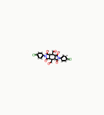 O=CC1C2C(=O)N(c3ccc(Cl)cc3)C(=O)C2C(C=O)C2C(=O)N(c3ccc(Cl)cc3)C(=O)C12